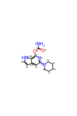 NC(=O)Oc1nc(N2CCCCC2)cc2cc[nH]c12